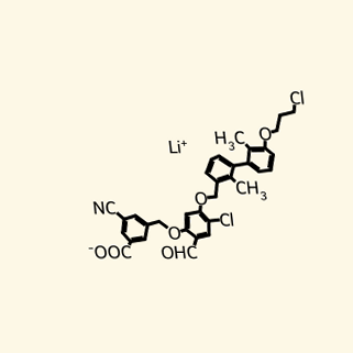 Cc1c(COc2cc(OCc3cc(C#N)cc(C(=O)[O-])c3)c(C=O)cc2Cl)cccc1-c1cccc(OCCCCl)c1C.[Li+]